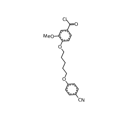 COc1cc(C(=O)Cl)ccc1OCCCCCOc1ccc(C#N)cc1